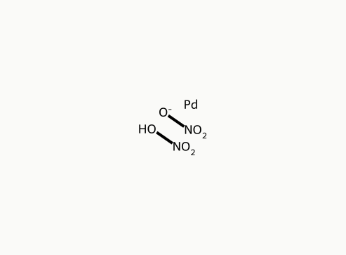 O=[N+]([O-])O.O=[N+]([O-])[O-].[Pd]